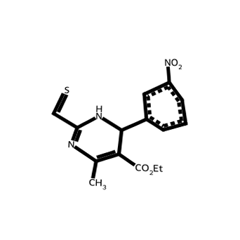 CCOC(=O)C1=C(C)N=C(C=S)NC1c1cccc([N+](=O)[O-])c1